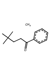 C.CC(C)(C)CCC(=O)c1ccccc1